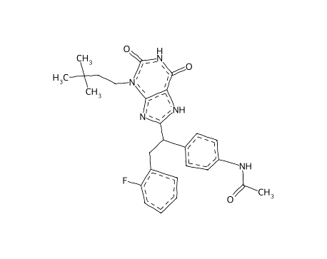 CC(=O)Nc1ccc(C(Cc2ccccc2F)c2nc3c([nH]2)c(=O)[nH]c(=O)n3CCC(C)(C)C)cc1